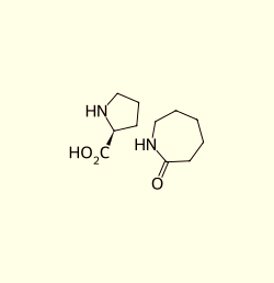 O=C(O)[C@@H]1CCCN1.O=C1CCCCCN1